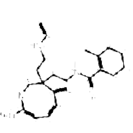 C=CNCCC1(CCNC(=O)C2=C(C)CCCC2)CN/C(OC)=C\C=C/C1=C